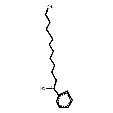 CCCCCCCCCCC[C@H](O)c1ccccc1